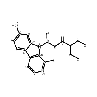 CCC(CC)NCC(C)n1c2cc(O)ccc2c2ccnc(C)c21